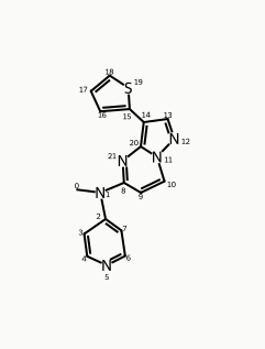 CN(c1ccncc1)c1ccn2ncc(-c3cccs3)c2n1